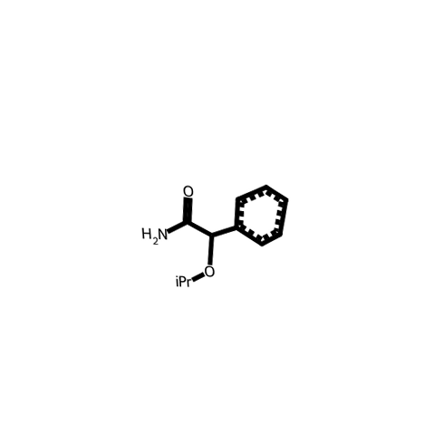 CC(C)OC(C(N)=O)c1ccccc1